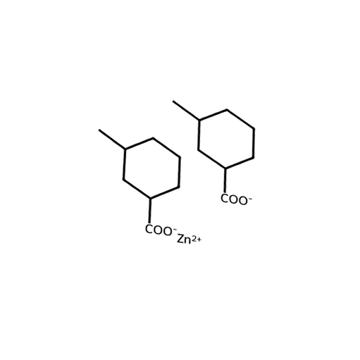 CC1CCCC(C(=O)[O-])C1.CC1CCCC(C(=O)[O-])C1.[Zn+2]